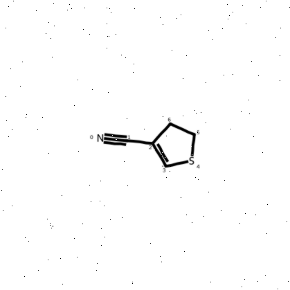 N#CC1=[C]SCC1